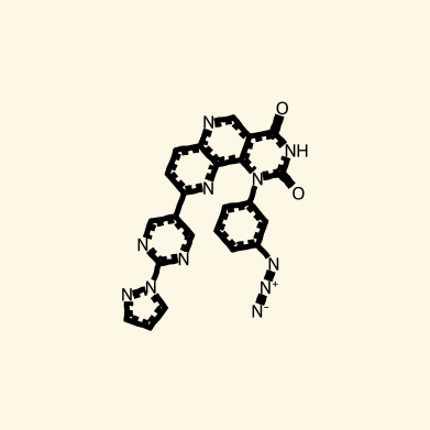 [N-]=[N+]=Nc1cccc(-n2c(=O)[nH]c(=O)c3cnc4ccc(-c5cnc(-n6cccn6)nc5)nc4c32)c1